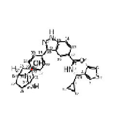 O=C(N[C@H](c1ccsc1)C1CC1)c1ccc2[nH]nc(-c3ccc(N4[C@@H]5CC[C@H]4CC(O)C5)cc3)c2c1